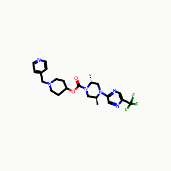 C[C@@H]1CN(c2cnc(C(F)(F)F)cn2)[C@@H](C)CN1C(=O)OC1CCN(Cc2ccncc2)CC1